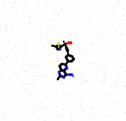 Cc1nc(N)c2nc(-c3cccc(C#C[C@](C)(O)c4ncc(C)s4)c3)ccc2n1